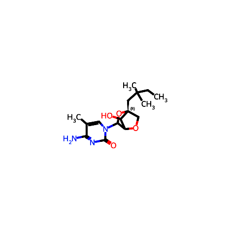 CCC(C)(C)C[C@]12COC(C(n3cc(C)c(N)nc3=O)O1)C2O